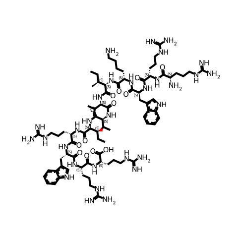 CC[C@H](C)[C@H](NC(=O)[C@H](CCCCN)NC(=O)[C@H](Cc1c[nH]c2ccccc12)NC(=O)[C@H](CCCNC(=N)N)NC(=O)[C@@H](N)CCCNC(=N)N)C(=O)N[C@H](C(=O)N[C@H](C(=O)N[C@H](C(=O)N[C@@H](CCCNC(=N)N)C(=O)N[C@@H](Cc1c[nH]c2ccccc12)C(=O)N[C@@H](CCCNC(=N)N)C(=O)N[C@@H](CCCNC(=N)N)C(=O)O)[C@@H](C)CC)C(C)C)C(C)C